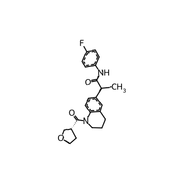 CC(C(=O)Nc1ccc(F)cc1)c1ccc2c(c1)CCCN2C(=O)[C@@H]1CCOC1